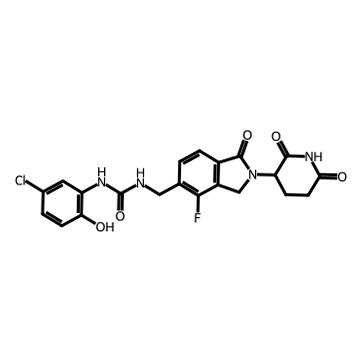 O=C1CCC(N2Cc3c(ccc(CNC(=O)Nc4cc(Cl)ccc4O)c3F)C2=O)C(=O)N1